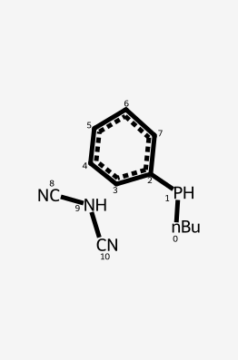 CCCCPc1ccccc1.N#CNC#N